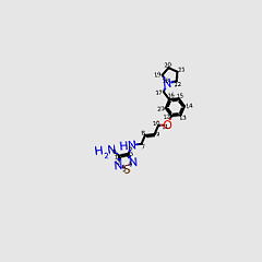 Nc1nsnc1NCC=CCOc1cccc(CN2CCCC2)c1